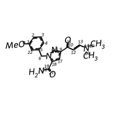 COc1cccc(Cn2nc(C(=O)/C=C/N(C)C)cc2C(N)=O)c1